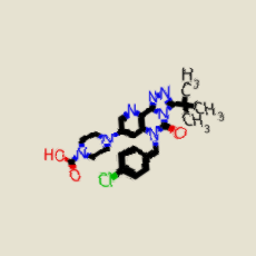 CC(C)(C)c1nnc2c3ncc(N4CCN(C(=O)O)CC4)cc3n(Cc3ccc(Cl)cc3)c(=O)n12